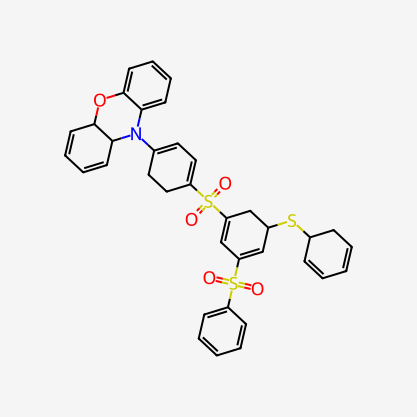 O=S(=O)(C1=CC=C(N2c3ccccc3OC3C=CC=CC32)CC1)C1=CC(S(=O)(=O)c2ccccc2)=CC(SC2C=CC=CC2)C1